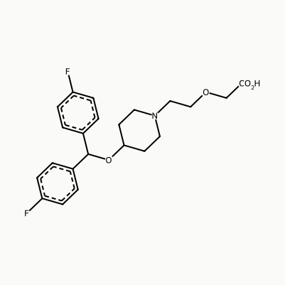 O=C(O)COCCN1CCC(OC(c2ccc(F)cc2)c2ccc(F)cc2)CC1